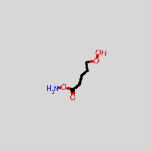 NOC(=O)CCCCOO